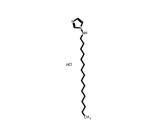 CCCCCCCCCCCCCCCCNn1ccnc1.Cl